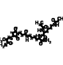 CCC(=O)NCCCCC(NC(=O)CC)C(=O)NC(CCCCNC(=O)CCN1C(=O)CC(SCC(C)C(N)=O)C1=O)C(N)=O